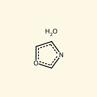 O.c1cocn1